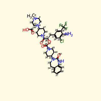 CN1CCN(C2CCN(C(=O)[C@@H](Cc3cc(Cl)c(N)c(C(F)(F)F)c3)OC(=O)N3CCC(N4CCc5ccccc5NC4=O)CC3)CC2)[C@H](C(=O)O)C1